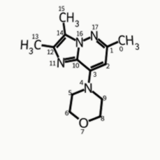 Cc1cc(N2CCOCC2)c2nc(C)c(C)n2n1